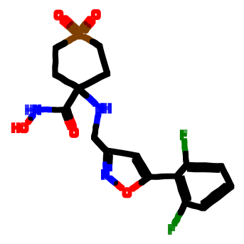 O=C(NO)C1(NCc2cc(-c3c(F)cccc3F)on2)CCS(=O)(=O)CC1